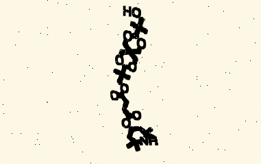 CC1(C)CC(OC(=O)CCC(=O)OCC(C)(C)C2OCC3(COC(C(C)(C)CO)OC3)CO2)CC(C)(C)N1